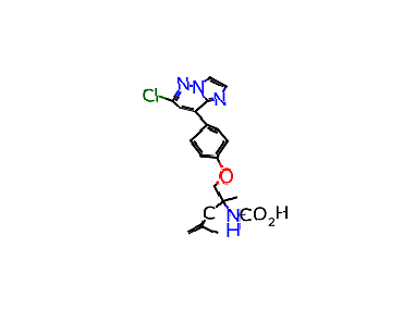 C=C(C)CC(C)(COc1ccc(-c2cc(Cl)nn3ccnc23)cc1)NC(=O)O